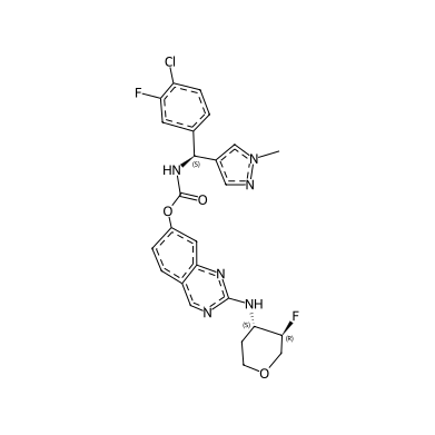 Cn1cc([C@@H](NC(=O)Oc2ccc3cnc(N[C@H]4CCOC[C@@H]4F)nc3c2)c2ccc(Cl)c(F)c2)cn1